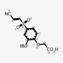 CC(C)(C)c1cc(S(=O)(=O)C=CC#N)ccc1OCC(=O)O